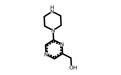 OCc1cncc(N2CCNCC2)n1